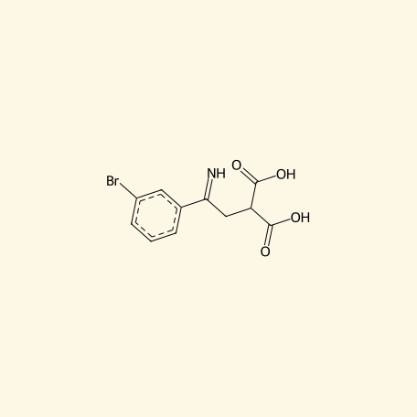 N=C(CC(C(=O)O)C(=O)O)c1cccc(Br)c1